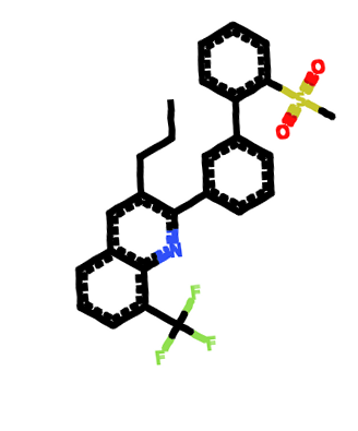 CCCc1cc2cccc(C(F)(F)F)c2nc1-c1cccc(-c2ccccc2S(C)(=O)=O)c1